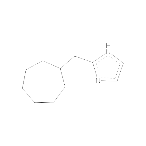 [c]1c[nH]c(CC2CCCCCC2)n1